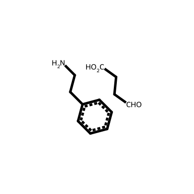 NCCc1ccccc1.O=CCCC(=O)O